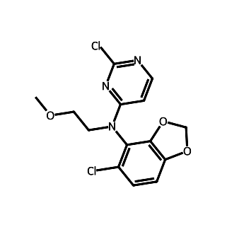 COCCN(c1ccnc(Cl)n1)c1c(Cl)ccc2c1OCO2